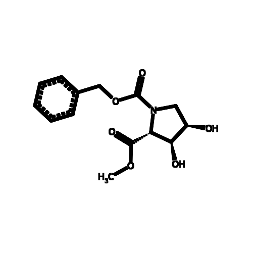 COC(=O)[C@H]1[C@H](O)[C@H](O)CN1C(=O)OCc1ccccc1